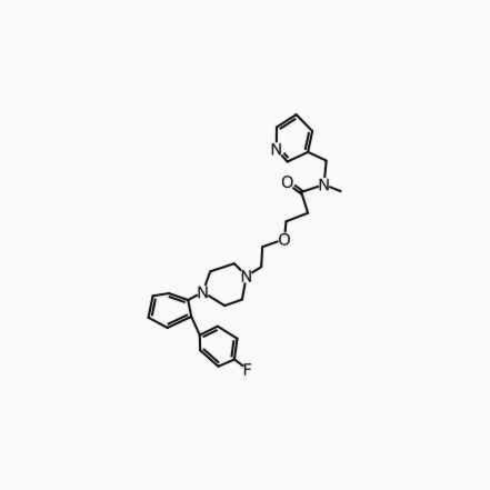 CN(Cc1cccnc1)C(=O)CCOCCN1CCN(c2ccccc2-c2ccc(F)cc2)CC1